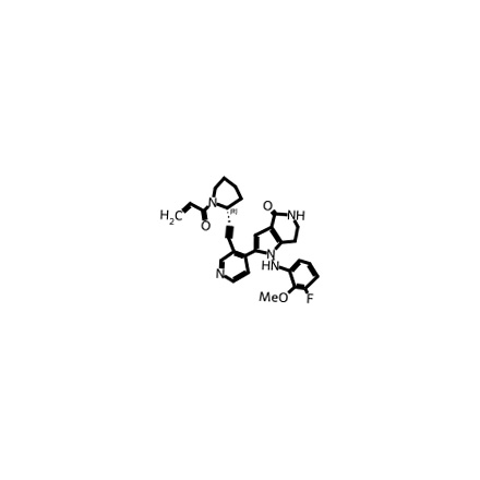 C=CC(=O)N1CCCC[C@@H]1C#Cc1cnccc1-c1cc2c(n1Nc1cccc(F)c1OC)CCNC2=O